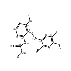 CCc1cc(F)c(OCc2c(CC)cccc2OC(=O)OC)cc1C